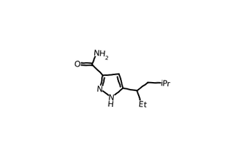 CCC(CC(C)C)c1cc(C(N)=O)n[nH]1